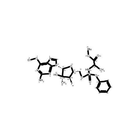 CCOc1nc(N)nc2c1ncn2[C@@H]1O[C@H](COP(=O)(NC(C)C(=O)OC(C)(C)C)Oc2ccccc2)[C@@H](F)[C@@]1(C)O